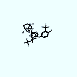 Cc1cc(N2C[C@H]3CC[C@@H](C2)[C@@H]3Nc2nc(Oc3ccc(F)c(C(F)(F)F)c3)n(CC(F)(F)F)n2)ncn1